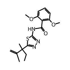 C=C(C)C(C)(CC)c1nnc(NC(=O)c2c(OC)cccc2OC)s1